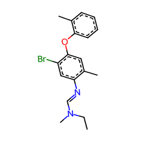 CCN(C)C=Nc1cc(Br)c(Oc2ccccc2C)cc1C